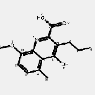 CCCc1c(C(=O)O)nc2c(OC)ccc(C)c2c1O